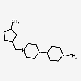 CC1CCC(CN2CCN(C3CCN(C)CC3)CC2)C1